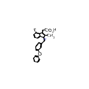 CC1=C(CC(=O)O)c2c(F)cccc2/C1=C\c1cccc(Oc2ccccc2)c1